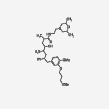 COCCCOc1cc(CC(CC(N)C(O)CC(C)C(=O)NCCN2CC(C)OC(C)C2)C(C)C)ccc1OC